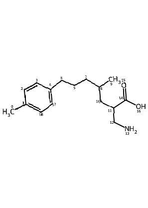 Cc1ccc(CCCC(C)CC(CN)C(=O)O)cc1